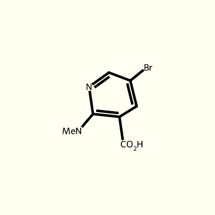 CNc1ncc(Br)cc1C(=O)O